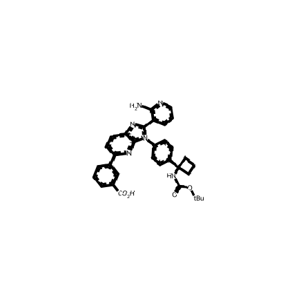 CC(C)(C)OC(=O)NC1(c2ccc(-n3c(-c4cccnc4N)nc4ccc(-c5cccc(C(=O)O)c5)nc43)cc2)CCC1